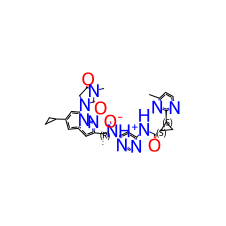 Cc1ccnc([C@H]2C[C@@H]2C(=O)Nc2cc([NH+]([O-])[C@H](C)c3cc4cc(C5CC5)cc(N5CC(=O)N(C)C5=O)n4n3)ncn2)n1